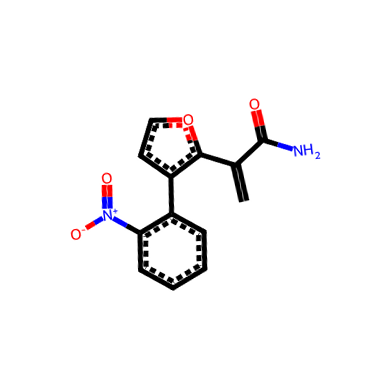 C=C(C(N)=O)c1occc1-c1ccccc1[N+](=O)[O-]